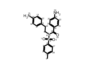 Cc1ccc(S(=O)(=O)N(CCc2ccc(N)cc2)C(=O)c2ccc(N)cc2)cc1